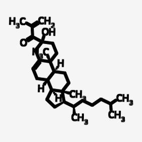 C=C(C)C(=O)C1(O)CC[C@@]2(C)C(=CC[C@H]3[C@@H]4CC[C@H]([C@H](C)CCCC(C)C)[C@@]4(C)CC[C@@H]32)C1